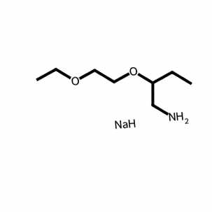 CCOCCOC(CC)CN.[NaH]